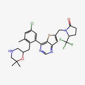 Cc1cc(Cl)cc(-c2ncnc3cc(CN4C(=O)CCC4C(F)(F)F)sc23)c1CC1CNCC(C)(C)O1